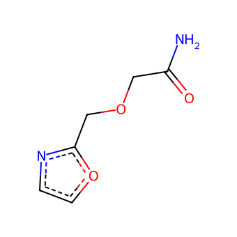 NC(=O)COCc1ncco1